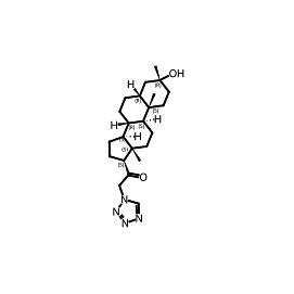 C[C@@]1(O)CC[C@@]2(C)[C@H](CC[C@@H]3[C@@H]2CC[C@]2(C)[C@@H](C(=O)Cn4cnnn4)CC[C@@H]32)C1